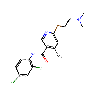 CN(C)CCSc1cc(C(F)(F)F)c(C(=O)Nc2ccc(Cl)cc2Cl)cn1